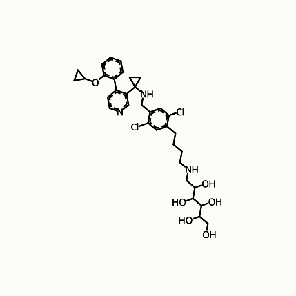 OCC(O)C(O)C(O)C(O)CNCCCCc1cc(Cl)c(CNC2(c3cnccc3-c3ccccc3OC3CC3)CC2)cc1Cl